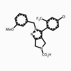 COc1cccc(Cn2nc3c(c2-c2ccc(Cl)cc2C(F)(F)F)CN(C(=O)O)C3)c1